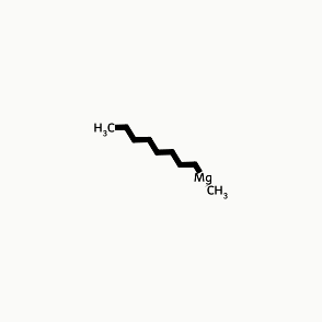 CCCCCCC[CH2][Mg][CH3]